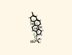 CC1=CC2=CC[C@@H]3[C@@H](CC[C@]4(C)C(O[Si](C)(C)C(C)(C)C)CC[C@@H]34)[C@@]2(C)CC1